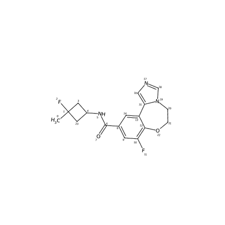 CC1(F)CC(NC(=O)c2cc(F)c3c(c2)-c2cncn2CCO3)C1